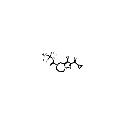 CC(C)(C)OC(=O)N1CCCn2nc(C(=O)C3CC3)c(Cl)c2C1